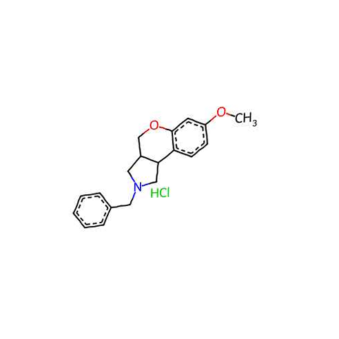 COc1ccc2c(c1)OCC1CN(Cc3ccccc3)CC21.Cl